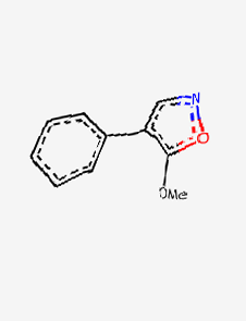 COc1oncc1-c1ccccc1